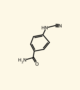 N#CNc1ccc(C(N)=O)cc1